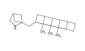 CC12C3CC1(CC14CC(CN1)C4)C14CCC1C1C3C2(C)C14C